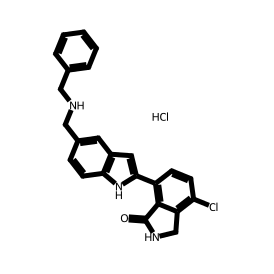 Cl.O=C1NCc2c(Cl)ccc(-c3cc4cc(CNCc5ccccc5)ccc4[nH]3)c21